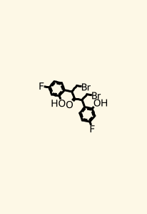 O=C(C(CBr)c1ccc(F)cc1O)C(CBr)c1ccc(F)cc1O